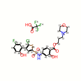 O=C(O)C(F)(F)F.O=C(OCCCN1CCOCC1)c1ccc(NS(=O)(=O)c2cc(-c3cc(F)ccc3O)c(Cl)s2)cc1O